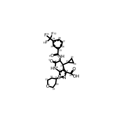 O=C(NC1C(=O)Nc2c(c(C(=O)O)nn2C2CCOCC2)C1C1CC1)c1cccc(C(F)(F)F)c1